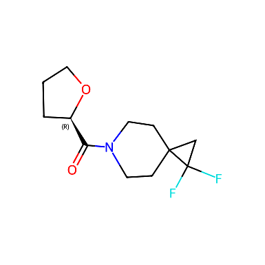 O=C([C@H]1CCCO1)N1CCC2(CC1)CC2(F)F